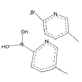 Cc1ccc(B(O)O)nc1.Cc1ccc(Br)nc1